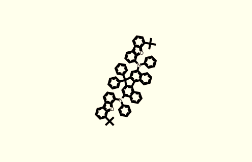 CC(C)(C)c1cccc2c1oc1c(N(c3ccccc3)c3cc4c(c5ccccc35)-c3c(cc(N(c5ccccc5)c5cccc6c5oc5c(C(C)(C)C)cccc56)c5ccccc35)C4(c3ccccc3)c3ccccc3)cccc12